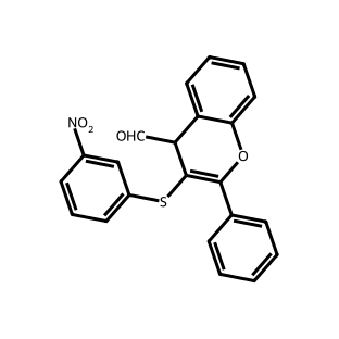 O=CC1C(Sc2cccc([N+](=O)[O-])c2)=C(c2ccccc2)Oc2ccccc21